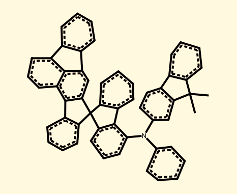 CC1(C)c2ccccc2-c2ccc(N(c3ccccc3)c3cccc4c3-c3ccccc3C43c4ccccc4-c4c3cc3c5c(cccc45)-c4ccccc4-3)cc21